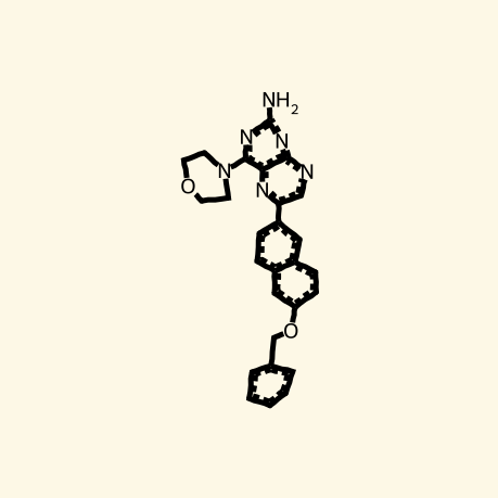 Nc1nc(N2CCOCC2)c2nc(-c3ccc4cc(OCc5ccccc5)ccc4c3)cnc2n1